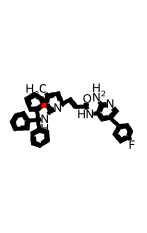 Cc1cc(/C=C/C(=O)Nc2cc(-c3ccc(F)cc3)cnc2N)nc(NC(c2ccccc2)(c2ccccc2)c2ccccc2)c1